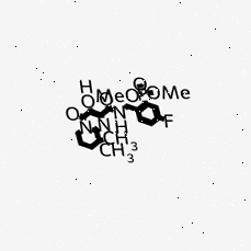 COP(=O)(OC)c1cc(F)ccc1CNC(=O)c1nc2n(c(=O)c1O)CCCC2(C)C